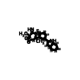 CN1C(=N)N[C@](C)(c2cc(-c3cc4ccccc4[nH]3)ccc2F)CS1(=O)=O